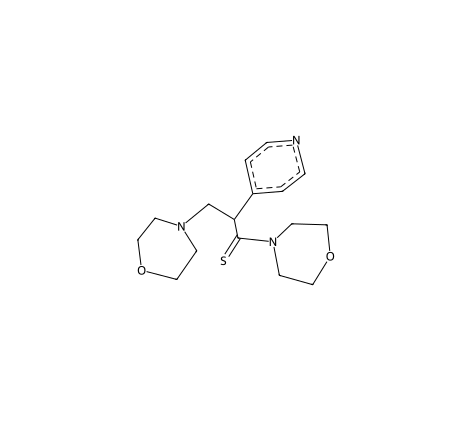 S=C(C(CN1CCOCC1)c1ccncc1)N1CCOCC1